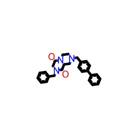 O=C1C2CN(Cc3ccc(-c4ccccc4)cc3)CCN2C(=O)CN1Cc1ccccc1